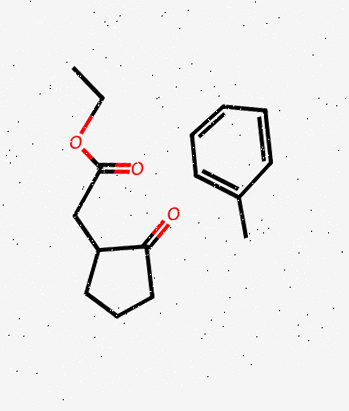 CCOC(=O)CC1CCCC1=O.Cc1ccccc1